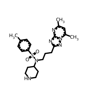 Cc1ccc(S(=O)(=O)N(CCCc2nc3nc(C)cc(C)n3n2)C2CCNCC2)cc1